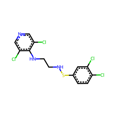 Clc1ccc(SNCCNc2c(Cl)cncc2Cl)cc1Cl